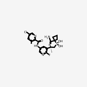 Cc1cc(Cl)cnc1C(=O)Nc1cnc(F)c([C@]2(C)CS(O)(O)C3(CCC3)C(N)=N2)c1